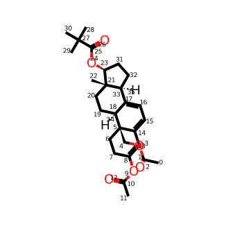 CC(=O)OC[C@]12CCC(OC(C)=O)=CC1=CC=C1[C@@H]2CC[C@]2(C)[C@@H](OC(=O)C(C)(C)C)CC[C@@H]12